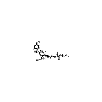 CCCNc1nc(Nc2ccc(C#N)cc2)ncc1C#CCCCNC(=O)CNC